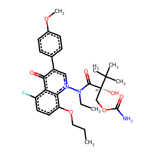 CCCOc1ccc(F)c2c(=O)c(-c3ccc(OC)cc3)cn(N(CC)C(=O)[C@](O)(COC(N)=O)C(C)(C)C)c12